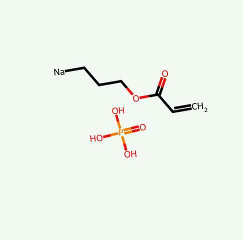 C=CC(=O)OCC[CH2][Na].O=P(O)(O)O